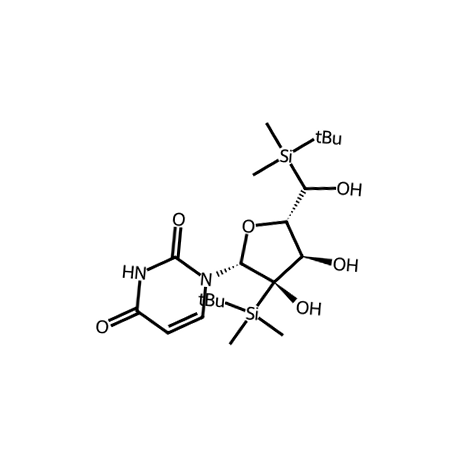 CC(C)(C)[Si](C)(C)C(O)[C@H]1O[C@@H](n2ccc(=O)[nH]c2=O)[C@@](O)([Si](C)(C)C(C)(C)C)[C@@H]1O